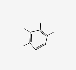 [BH]c1ccc(C)c(C)c1C